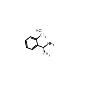 C[C@H](N)c1ccccc1C(F)(F)F.Cl